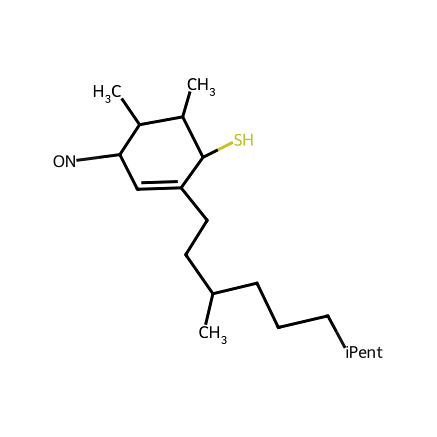 CCCC(C)CCCC(C)CCC1=CC(N=O)C(C)C(C)C1S